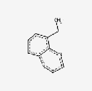 [CH2]Cc1cccc2nccnc12